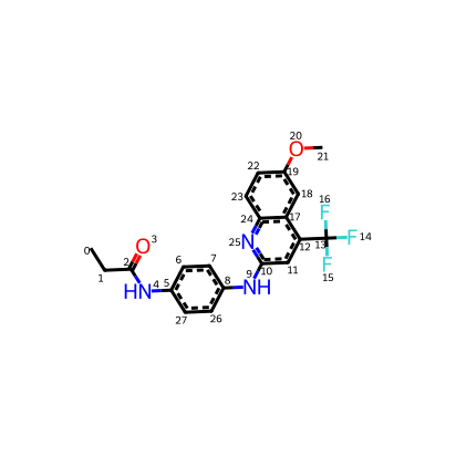 CCC(=O)Nc1ccc(Nc2cc(C(F)(F)F)c3cc(OC)ccc3n2)cc1